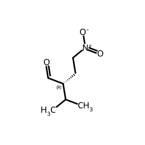 CC(C)[C@H](C=O)CC[N+](=O)[O-]